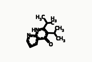 CC(C)c1[nH]c2ncccc2c(=O)c1C(C)C